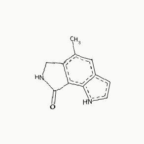 Cc1cc2cc[nH]c2c2c1CNC2=O